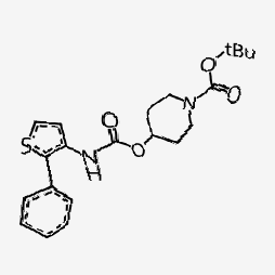 CC(C)(C)OC(=O)N1CCC(OC(=O)Nc2ccsc2-c2ccccc2)CC1